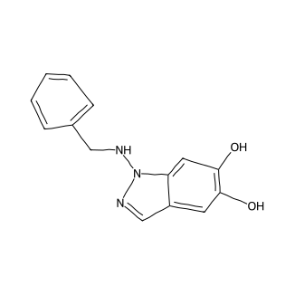 Oc1cc2cnn(NCc3ccccc3)c2cc1O